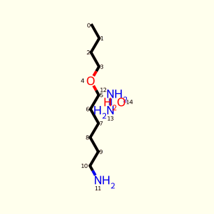 CCCCOCCCCCCN.NN.O